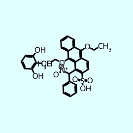 CCOc1c2ccccc2c(OCC)c2c(C(c3ccccc3)[N+](=O)[O-])c(S(=O)(=O)O)ccc12.Oc1cccc(O)c1O